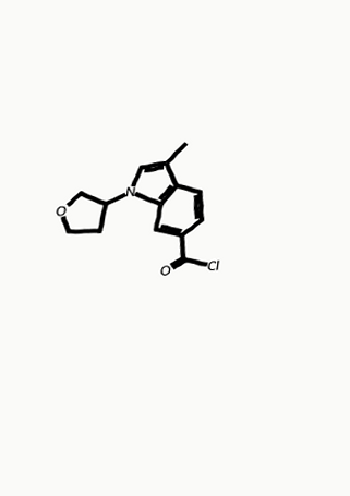 Cc1cn(C2CCOC2)c2cc(C(=O)Cl)ccc12